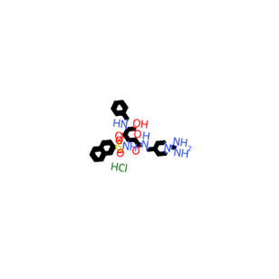 Cl.N=C(N)N1CCC(CNC(=O)CC(NS(=O)(=O)c2ccc3ccccc3c2)C(=O)C(NCc2ccccc2)C(=O)O)CC1